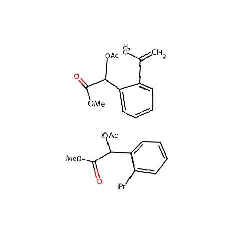 C=C(C)c1ccccc1C(OC(C)=O)C(=O)OC.COC(=O)C(OC(C)=O)c1ccccc1C(C)C